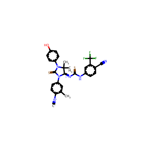 [C-]#[N+]c1ccc(N2C(=S)N(c3ccc(O)cc3)C(C)(C)/C2=N\C(=S)Nc2ccc(C#N)c(C(F)(F)F)c2)cc1C